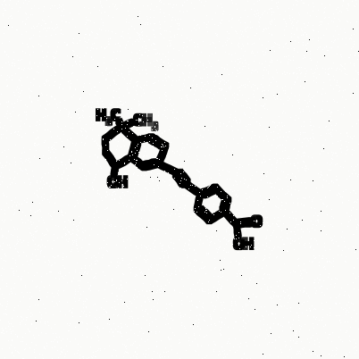 CC1(C)CCC(O)c2cc(C#Cc3ccc(C(=O)O)cc3)ccc21